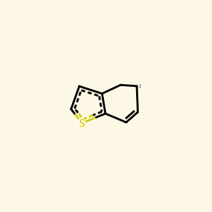 [C]1C=Cc2sccc2C1